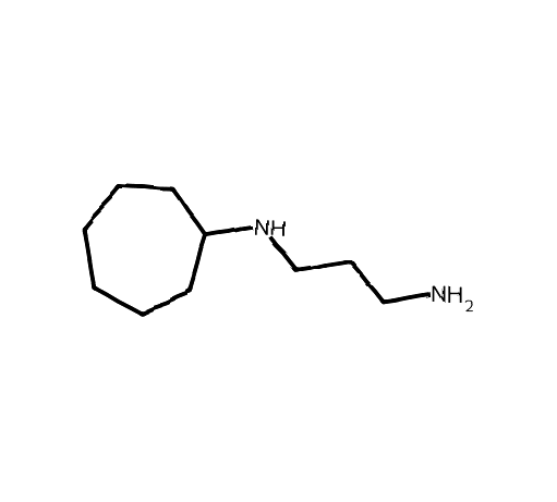 NCCCNC1CCCCCC1